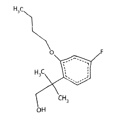 CCCCOc1cc(F)ccc1C(C)(C)CO